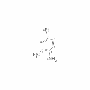 CCc1ccc(N)c(C(F)(F)F)c1